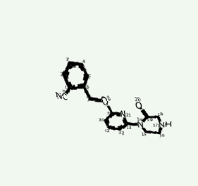 N#Cc1ccccc1COc1cccc(N2CCNCC2=O)n1